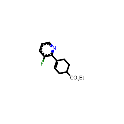 CCOC(=O)C1CC=C(c2ncccc2F)CC1